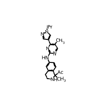 CC(=O)C1(C)NCCc2cc(Nc3ncc(C)c(-c4cnn(C(C)C)c4)n3)ccc21